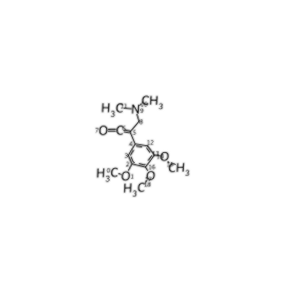 COc1cc(C(=C=O)CN(C)C)cc(OC)c1OC